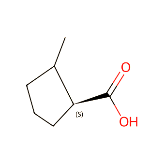 CC1CCC[C@@H]1C(=O)O